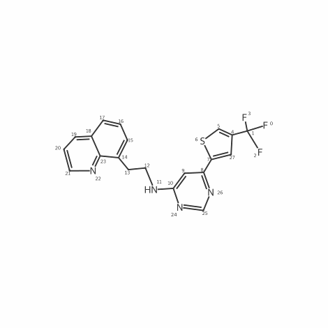 FC(F)(F)c1csc(-c2cc(NCCc3cccc4cccnc34)ncn2)c1